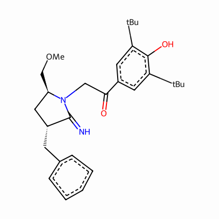 COC[C@@H]1C[C@@H](Cc2ccccc2)C(=N)N1CC(=O)c1cc(C(C)(C)C)c(O)c(C(C)(C)C)c1